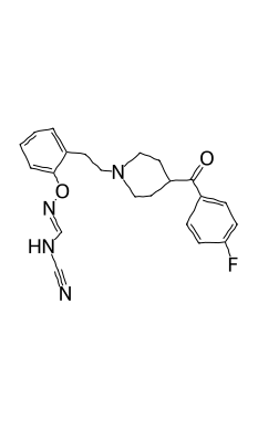 N#CN/C=N/Oc1ccccc1CCN1CCC(C(=O)c2ccc(F)cc2)CC1